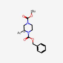 CC(=O)[C@H]1CN(C(=O)OC(C)(C)C)CCN1C(=O)OCc1ccccc1